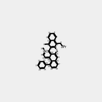 Cc1c2c(c(CC(C)C)c3ccccc13)Sc1cc3cccc(-c4ccccc4)c3c3cc[n+](C)c-2c13